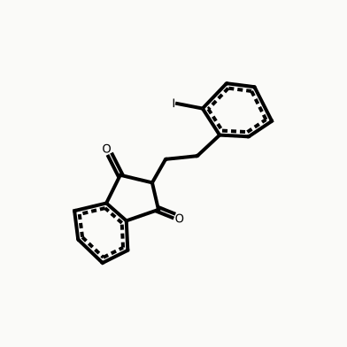 O=C1c2ccccc2C(=O)C1CCc1ccccc1I